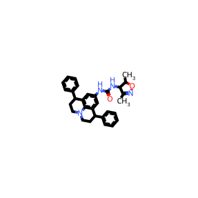 CC1=NOC(C)C1NC(=O)Nc1cc2c3c(c1)C(c1ccccc1)CCN3CCC2c1ccccc1